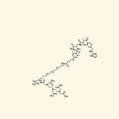 Cc1cc(OCCCC(=O)NCCCOCCOCCOCCCCC(CS(=O)(=O)O)NC(=O)CN(CCN(CCN(CC(=O)O)CC(=O)O)CC(=O)O)CC(=O)O)cc(C)c1S(=O)(=O)NC(CNC(=O)C1=Nc2cc(CNc3ncc[nH]3)ccc2C(=O)C1C)C(=O)O